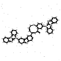 C=C1/C=C(c2ccc3oc4ccc(-n5c6ccccc6n6c7ccccc7nc56)cc4c3c2)\C=C/COc2ccc(-n3c4ccccc4n4c5ccccc5nc34)cc21